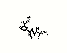 C/N=C(\C(C)=C(/C)NC(N)=O)c1ccnc(C(=O)NOC)c1